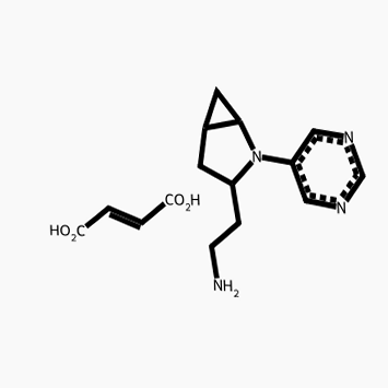 NCCC1CC2CC2N1c1cncnc1.O=C(O)C=CC(=O)O